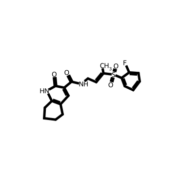 C/C(=C\CNC(=O)c1cc2c([nH]c1=O)CCCC2)S(=O)(=O)c1ccccc1F